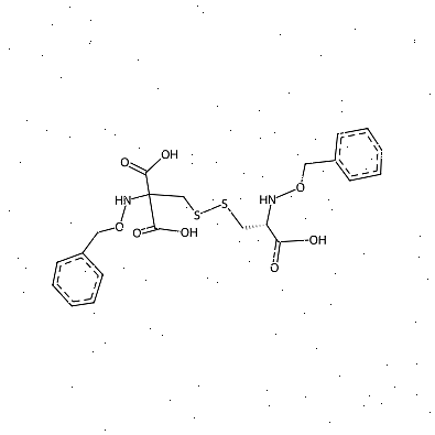 O=C(O)[C@H](CSSCC(NOCc1ccccc1)(C(=O)O)C(=O)O)NOCc1ccccc1